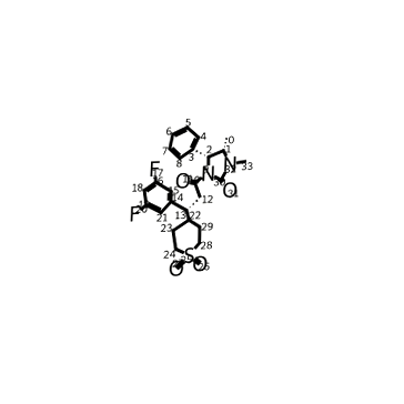 C[C@H]1[C@@H](c2ccccc2)N(C(=O)C[C@@H](c2cc(F)cc(F)c2)C2CCS(=O)(=O)CC2)C(=O)N1C